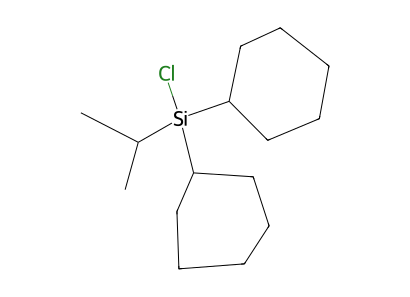 CC(C)[Si](Cl)(C1CCCCC1)C1CCCCC1